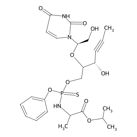 CC#C[C@H](O)C(COP(=S)(NC(C)C(=O)OC(C)C)Oc1ccccc1)O[C@H](CO)n1ccc(=O)[nH]c1=O